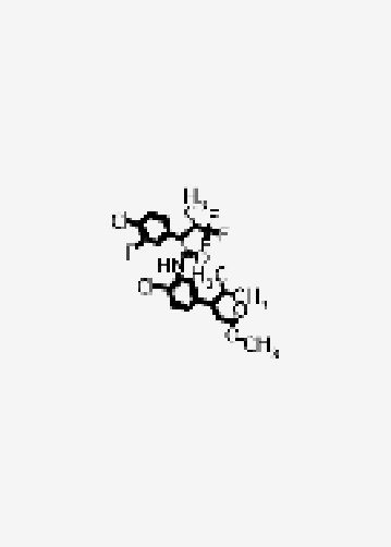 COC(=O)CC(c1ccc(Cl)c(NC(=O)[C@H](c2ccc(Cl)c(F)c2)[C@@H](C)C(F)(F)F)c1)C(C)C